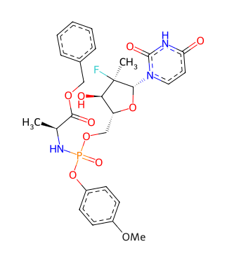 COc1ccc(OP(=O)(N[C@@H](C)C(=O)OCc2ccccc2)OC[C@H]2O[C@@H](n3ccc(=O)[nH]c3=O)[C@](C)(F)[C@@H]2O)cc1